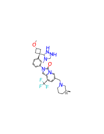 CO[C@H]1C[C@@](c2cccc(-n3cc4c(C(F)(F)F)cc(CN5CCC[C@H](C)C5)cn4c3=O)c2)(C2NNCN2C)C1